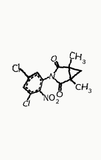 CC12CC1(C)C(=O)N(c1cc(Cl)cc(Cl)c1[N+](=O)[O-])C2=O